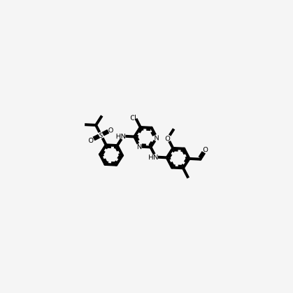 COc1cc(C=O)c(C)cc1Nc1ncc(Cl)c(Nc2ccccc2S(=O)(=O)C(C)C)n1